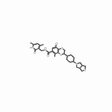 Cc1cc(C)c(CNC(=O)c2cc(Cl)c3c(c2C)OC(C2CCC(N4CC5COCC5C4)CC2)CO3)c(=O)[nH]1